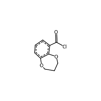 O=C(Cl)c1cccc2c1OCCCO2